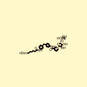 CCCCCCCCCCCCCCCC(=O)Nc1ccc(Cc2ccc(NC(=O)c3ccc[n+]([C@@H]4O[C@H](COP(=O)(O)O)[C@@H](O)[C@H]4O)c3)cc2)cc1